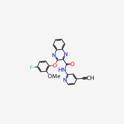 C#Cc1ccnc(NC(=O)c2nc3ccccc3nc2Oc2ccc(F)cc2OC)c1